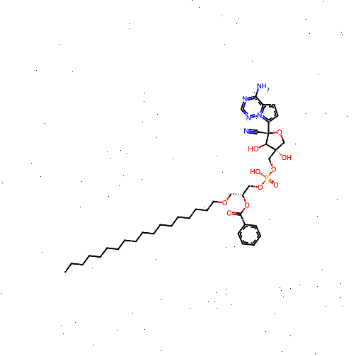 CCCCCCCCCCCCCCCCCCOC[C@H](COP(=O)(O)OC[C@]1(O)CO[C@@](C#N)(c2ccc3c(N)ncnn23)[C@@H]1O)OC(=O)c1ccccc1